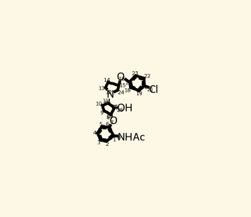 CC(=O)Nc1ccccc1O[C@H]1CC[C@H](N2CCC(Oc3ccc(Cl)cc3)C2)[C@H]1O